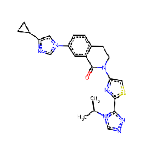 CC(C)n1cnnc1-c1nc(N2CCc3ccc(-n4cnc(C5CC5)c4)cc3C2=O)cs1